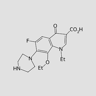 CCOc1c(N2CCNCC2)c(F)cc2c(=O)c(C(=O)O)cn(CC)c12